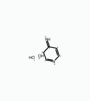 Cl.Cl.N=C1C=CN=CC1